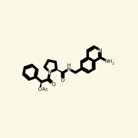 CC(=O)O[C@H](C(=O)N1CCC[C@H]1C(=O)NCc1ccc2c(N)nccc2c1)c1ccccc1